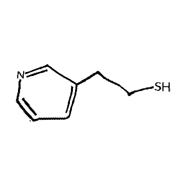 SCCc1c[c]cnc1